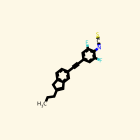 CCCC1=Cc2cc(C#Cc3cc(F)c(N=C=S)c(F)c3)ccc2C1